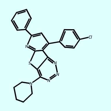 Clc1ccc(-c2cc(-c3ccccc3)nc3sc4c(N5CCCCC5)nnnc4c23)cc1